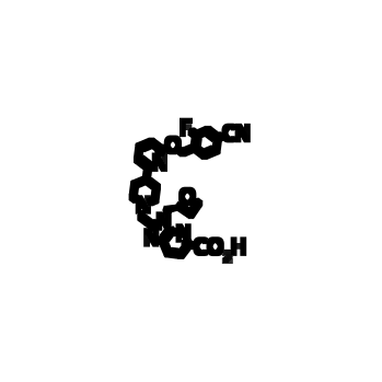 N#Cc1ccc(COc2cccc(C3CCN(Cc4nc5ccc(C(=O)O)nc5n4C[C@@H]4CCO4)CC3)n2)c(F)c1